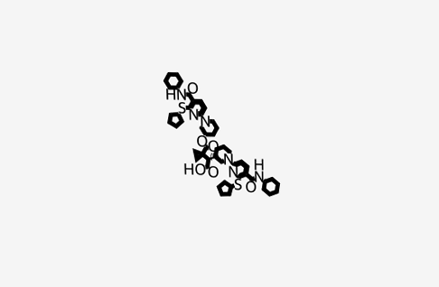 O=C(NC1CCCCC1)c1ccc(N2CCCC(OC(=O)C3(C(C(=O)O)[C@H]4CCCN(c5ccc(C(=O)NC6CCCCC6)c(SC6CCCC6)n5)C4)CC3)C2)nc1SC1CCCC1